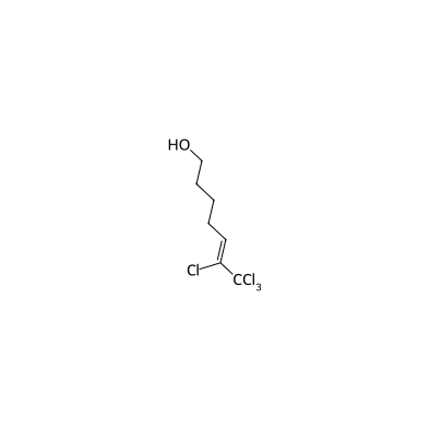 OCCCCC=C(Cl)C(Cl)(Cl)Cl